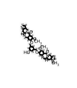 COc1cc2c(cc1OCc1cc(O)cc(COc3cc4c(cc3OC)C(=O)N3Cc5ncn(C)c5C[C@H]3C=N4)c1)C=N[C@@H]1Cc3sccc3CN1C2=O